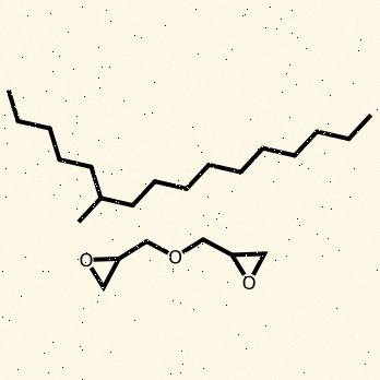 C(OCC1CO1)C1CO1.CCCCCCCCCCC(C)CCCCC